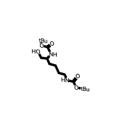 CC(C)(C)OC(=O)NCCCCC(CO)NC(=O)OC(C)(C)C